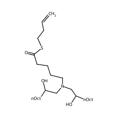 C=CCCSC(=O)CCCCN(CC(O)CCCCCCCC)CC(O)CCCCCCCC